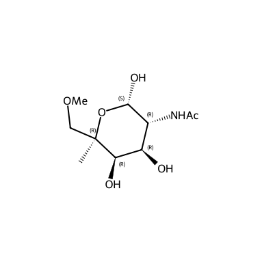 COC[C@@]1(C)O[C@H](O)[C@H](NC(C)=O)[C@@H](O)[C@H]1O